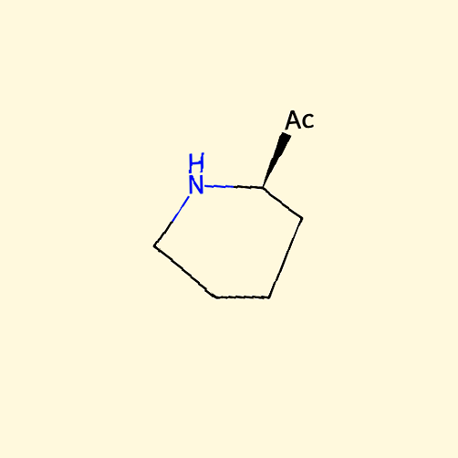 CC(=O)[C@H]1CCCCN1